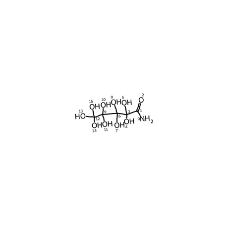 NC(=O)C(O)(O)C(O)(O)C(O)(O)C(O)(O)O